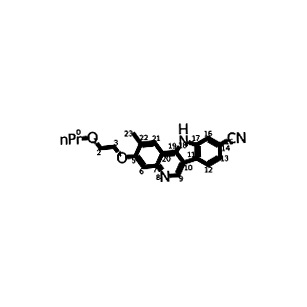 CCCOCCOc1cc2ncc3c4ccc(C#N)cc4[nH]c3c2cc1C